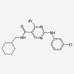 CC(C)c1nc(Nc2cccc(Cl)c2)ncc1C(=O)NCC1CCCCC1